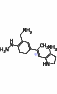 C/C(=C\C1=C(N)CCN1)C1=CC(CN)=C(NN)CC1